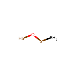 BSOS